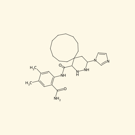 Cc1cc(NC(=O)C2NNC(n3ccnc3)CC23CCCCCCCCCC3)c(C(N)=O)cc1C